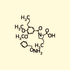 CCCc1cc(C(=O)N2CC(CC)C2C(=O)O)cc(OC)c1OC.NOCc1ccccc1